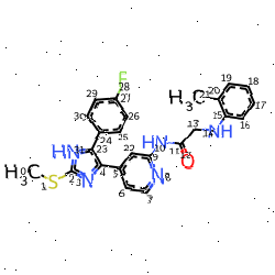 CSc1nc(-c2ccnc(NC(=O)CNc3ccccc3C)c2)c(-c2ccc(F)cc2)[nH]1